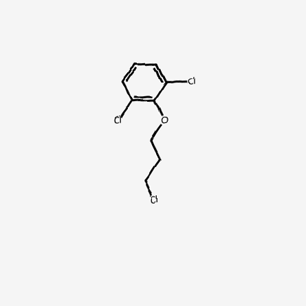 ClCCCOc1c(Cl)cccc1Cl